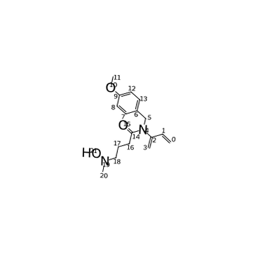 C=CC(=C)N(Cc1ccc(OC)cc1)C(=O)CCCN(C)O